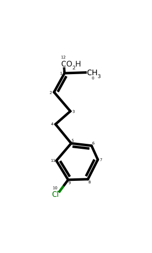 C/C(=C\CCc1cccc(Cl)c1)C(=O)O